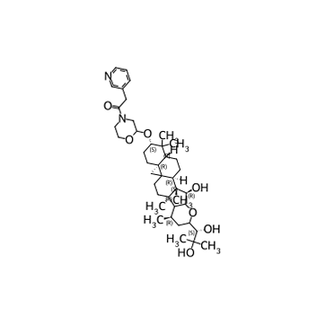 C[C@@H]1CC([C@H](O)C(C)(C)O)OC2C1[C@@]1(C)CCC34C[C@@]35CC[C@H](OC3CN(C(=O)Cc6cccnc6)CCO3)C(C)(C)[C@@H]5CC[C@H]4[C@]1(C)[C@H]2O